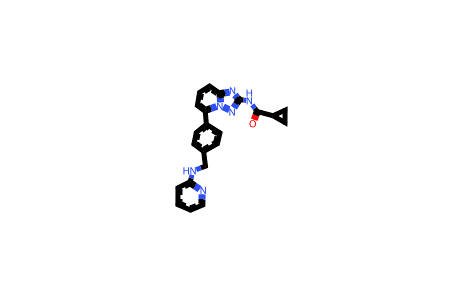 O=C(Nc1nc2cccc(-c3ccc(CNc4ccccn4)cc3)n2n1)C1CC1